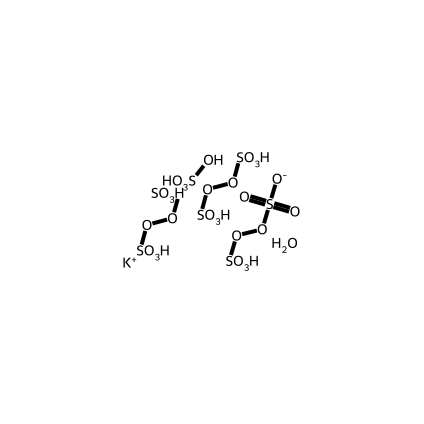 O.O=S(=O)(O)O.O=S(=O)(O)OOS(=O)(=O)O.O=S(=O)(O)OOS(=O)(=O)O.O=S(=O)([O-])OOS(=O)(=O)O.[K+]